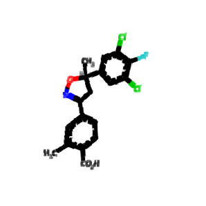 Cc1cc(C2=NO[C@](C)(c3cc(Cl)c(F)c(Cl)c3)C2)ccc1C(=O)O